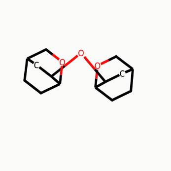 C1CC2OCC1CC2OC1CC2CCC1OC2